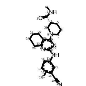 CNC(=O)[C@@H]1CCCN(c2nc(Nc3ccc(F)c(C#N)c3)nc3c2CCCC3)C1